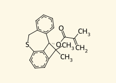 C=C(C)C(=O)O[C@@]12c3ccccc3CSc3cccc(c31)C2(C)C